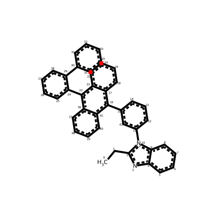 CCc1nc2ccccc2n1-c1cccc(-c2c3ccccc3c(-c3ccccc3-c3ccccc3)c3ccccc23)c1